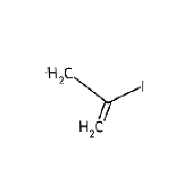 [CH2]C(=C)I